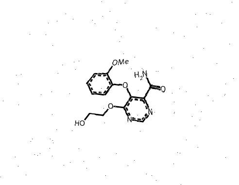 COc1ccccc1Oc1c(OCCO)ncnc1C(N)=O